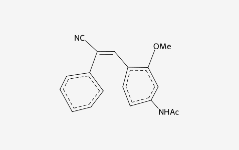 COc1cc(NC(C)=O)ccc1/C=C(/C#N)c1ccccc1